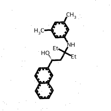 CCC(CC)(C[C@@H](O)c1ccc2ccccc2c1)Nc1cc(C)cc(C)c1